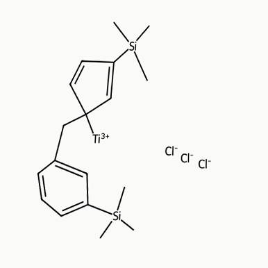 C[Si](C)(C)C1=C[C]([Ti+3])(Cc2cccc([Si](C)(C)C)c2)C=C1.[Cl-].[Cl-].[Cl-]